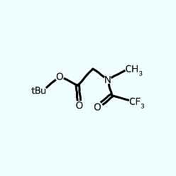 CN(CC(=O)OC(C)(C)C)C(=O)C(F)(F)F